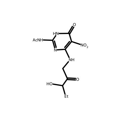 CCC(O)C(=O)CNc1nc(NC(C)=O)[nH]c(=O)c1[N+](=O)[O-]